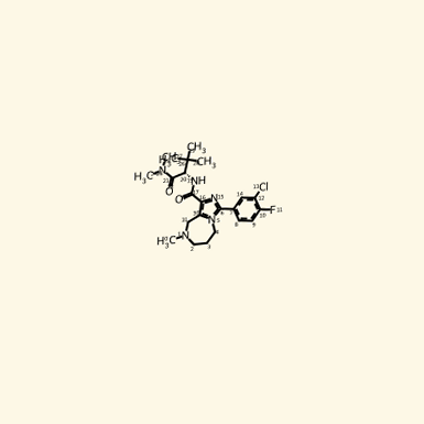 CN1CCCn2c(-c3ccc(F)c(Cl)c3)nc(C(=O)N[C@H](C(=O)N(C)C)C(C)(C)C)c2C1